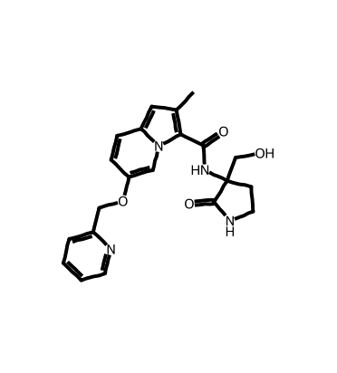 Cc1cc2ccc(OCc3ccccn3)cn2c1C(=O)NC1(CO)CCNC1=O